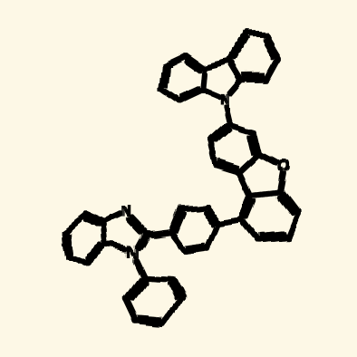 c1ccc(-n2c(-c3ccc(-c4cccc5oc6cc(-n7c8ccccc8c8ccccc87)ccc6c45)cc3)nc3ccccc32)cc1